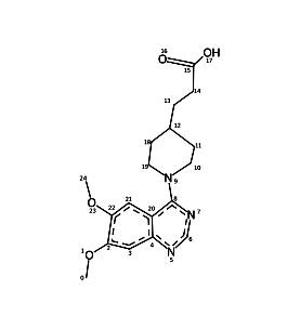 COc1cc2ncnc(N3CCC(CCC(=O)O)CC3)c2cc1OC